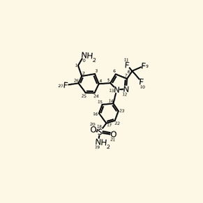 NCc1cc(-c2cc(C(F)(F)F)nn2-c2ccc(S(N)(=O)=O)cc2)ccc1F